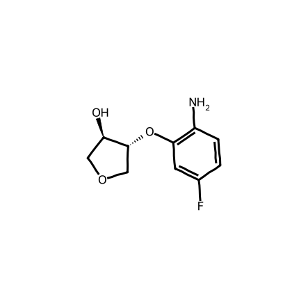 Nc1ccc(F)cc1O[C@@H]1COC[C@H]1O